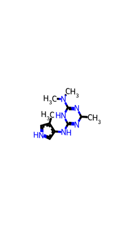 Cc1c[nH]cc1NC1=NC(C)N=C(N(C)C)N1